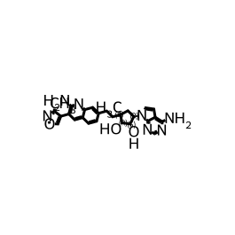 Cc1nocc1-c1cc2ccc(CC[C@@]3(C)C[C@@H](n4ccc5c(N)ncnc54)[C@H](O)[C@@H]3O)cc2nc1N